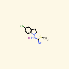 CSC(=N)NN1CCc2cc(Cl)ccc21.I